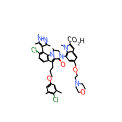 Cc1cc(OCCCc2c3n(c4c(-c5c(C)nn(C)c5C)c(Cl)ccc24)C(C)CN(c2cc(COCCN4CCOCC4)cc4cc(C(=O)O)n(C)c24)C3=O)cc(C)c1Cl